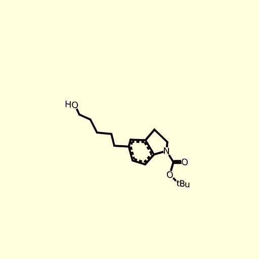 CC(C)(C)OC(=O)N1CCc2cc(CCCCCO)ccc21